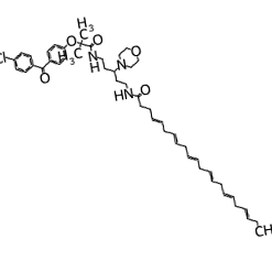 CCC=CCC=CCC=CCC=CCC=CCC=CCCC(=O)NCCC(CCNC(=O)C(C)(C)Oc1ccc(C(=O)c2ccc(Cl)cc2)cc1)N1CCOCC1